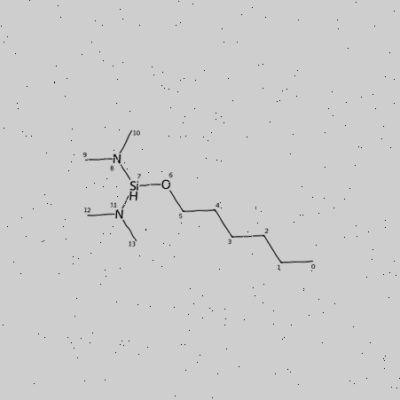 CCCCCCO[SiH](N(C)C)N(C)C